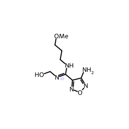 COCCCN/C(=N\CO)c1nonc1N